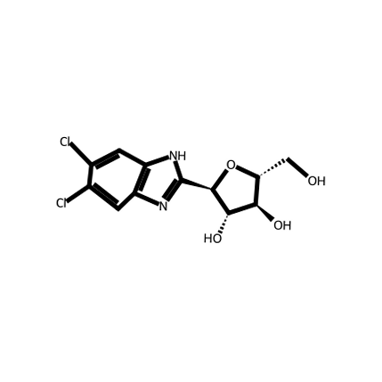 OC[C@H]1O[C@H](c2nc3cc(Cl)c(Cl)cc3[nH]2)[C@@H](O)[C@@H]1O